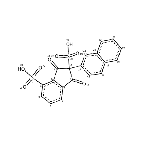 O=C1c2cccc(S(=O)(=O)O)c2C(=O)C1(c1ccc2ccccc2n1)S(=O)(=O)O